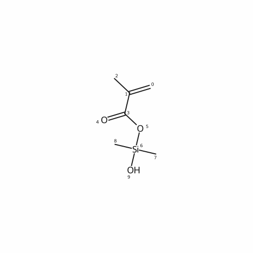 C=C(C)C(=O)O[Si](C)(C)O